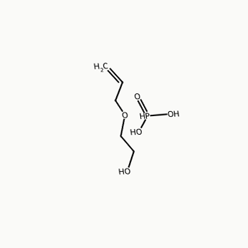 C=CCOCCO.O=[PH](O)O